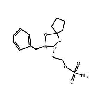 NS(=O)(=O)OCC[C@H]1OC2(CCCC2)O[C@@H]1Cc1ccccc1